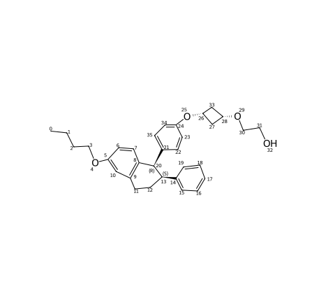 CCCCOc1ccc2c(c1)CC[C@H](c1ccccc1)[C@@H]2c1ccc(O[C@H]2C[C@@H](OCCO)C2)cc1